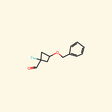 O=CC1(F)CC(OCc2ccccc2)C1